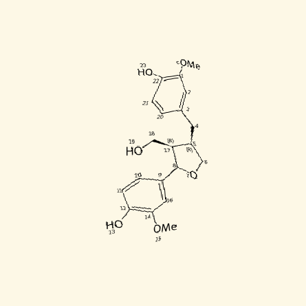 COc1cc(C[C@H]2COC(c3ccc(O)c(OC)c3)[C@H]2CO)ccc1O